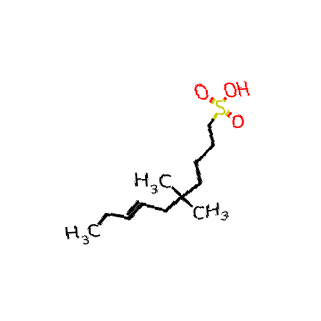 CCC=CCC(C)(C)CCCCS(=O)(=O)O